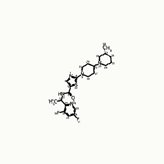 CC(NC(=O)c1cnc(N2CCC(N3CCC[C@@H](C)C3)CC2)s1)c1ncc(F)cc1F